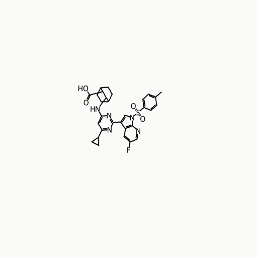 Cc1ccc(S(=O)(=O)n2cc(-c3nc(NC4C5CCC(CC5)C4C(=O)O)cc(C4CC4)n3)c3cc(F)cnc32)cc1